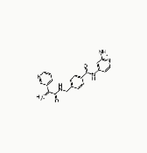 C=C(C(=O)NCc1ccc(C(=O)Nc2ccnc(N)c2)cc1)c1cccnc1